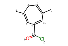 CC1=CCC(C)=CC(C(=O)Cl)=C1